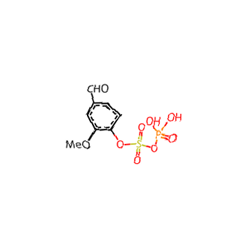 COc1cc(C=O)ccc1OS(=O)(=O)OP(=O)(O)O